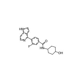 O=C(NC1CCC(O)CC1)c1ccc(-c2nccc3[nH]ccc23)c(F)c1